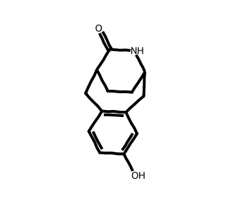 O=C1NC2CCC1Cc1ccc(O)cc1C2